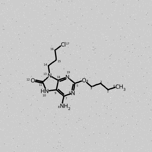 CCCCOc1nc(N)c2[nH]c(=O)n(CCCCl)c2n1